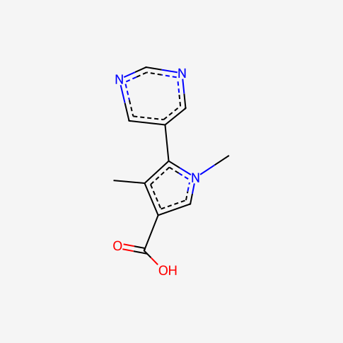 Cc1c(C(=O)O)cn(C)c1-c1cncnc1